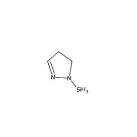 [SiH3]N1CCC=N1